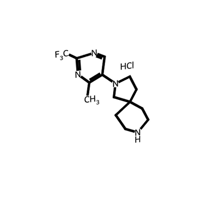 Cc1nc(C(F)(F)F)ncc1N1CCC2(CCNCC2)C1.Cl